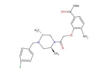 COC(=O)c1ccc([N+](=O)[O-])c(OCC(=O)N2C[C@@H](C)N(Cc3ccc(F)cc3)C[C@@H]2C)c1